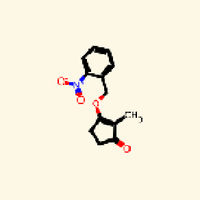 CC1=C(OCc2ccccc2[N+](=O)[O-])CCC1=O